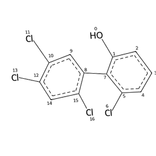 Oc1cccc(Cl)c1-c1cc(Cl)c(Cl)cc1Cl